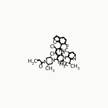 C=CC(=O)N1C[C@H](C)N(c2nc(=O)n(-c3c(C)ccnc3C(C)C)c3nc(-c4c(F)ccc5ccoc45)c(Cl)cc23)C[C@H]1C